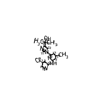 Cc1cc(Nc2cc(Cl)ccn2)nc(-n2cnc(C(C)(C)O)c2)c1